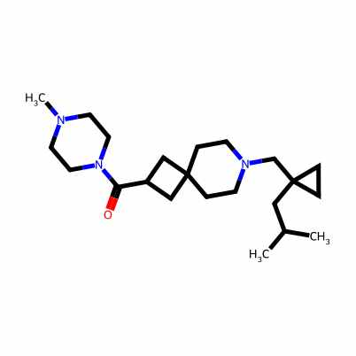 CC(C)CC1(CN2CCC3(CC2)CC(C(=O)N2CCN(C)CC2)C3)CC1